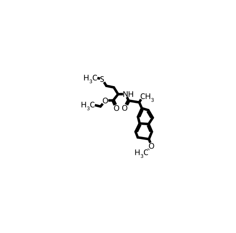 CCOC(=O)C(CCSC)NC(=O)C(C)c1ccc2c(c1)=CCC(OC)C=2